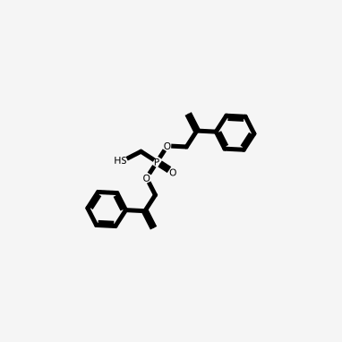 C=C(COP(=O)(CS)OCC(=C)c1ccccc1)c1ccccc1